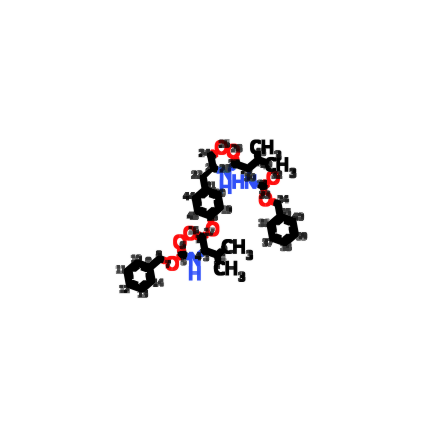 CC(C)C(NC(=O)OCc1ccccc1)C(=O)Oc1ccc(C[C@@H](C=O)NC(=O)[C@@H](NC(=O)OCc2ccccc2)C(C)C)cc1